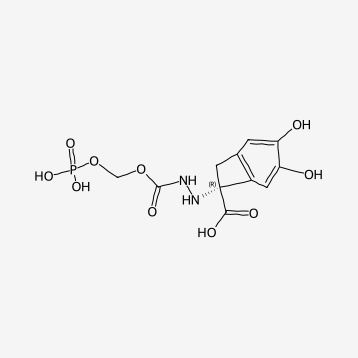 O=C(NN[C@]1(C(=O)O)Cc2cc(O)c(O)cc21)OCOP(=O)(O)O